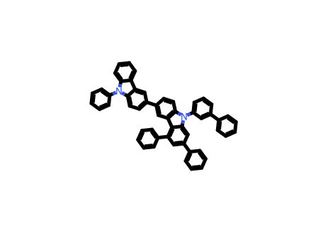 c1ccc(-c2cccc(-n3c4ccc(-c5ccc6c(c5)c5ccccc5n6-c5ccccc5)cc4c4c(-c5ccccc5)cc(-c5ccccc5)cc43)c2)cc1